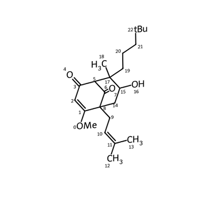 COC1=CC(=O)C2C(=O)C1(CC=C(C)C)CC(O)C2(C)CCCC(C)(C)C